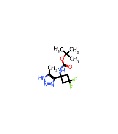 Cc1[nH]nnc1C1(NC(=O)OC(C)(C)C)CC(F)(F)C1